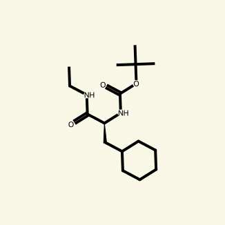 CCNC(=O)[C@H](CC1CCCCC1)NC(=O)OC(C)(C)C